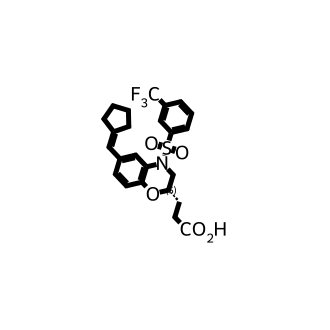 O=C(O)CC[C@H]1CN(S(=O)(=O)c2cccc(C(F)(F)F)c2)c2cc(C=C3CCCC3)ccc2O1